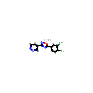 Cl.Fc1ccc(-c2nc(-c3ccnnc3)no2)cc1F